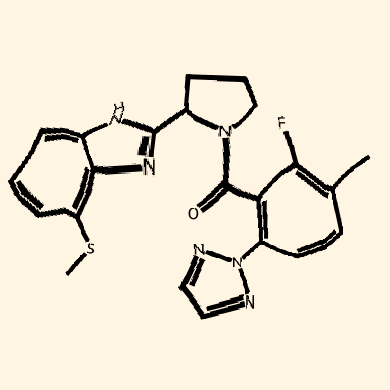 CSc1cccc2[nH]c(C3CCCN3C(=O)c3c(-n4nccn4)ccc(C)c3F)nc12